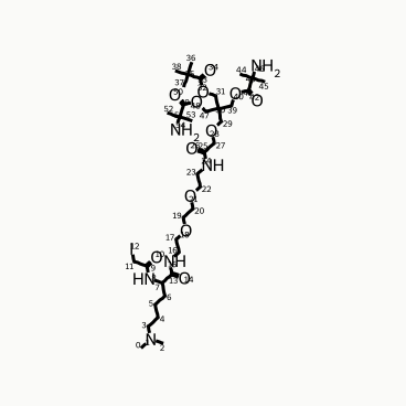 CN(C)CCCCC(NC(=O)CI)C(=O)NCCOCCOCCNC(=O)COCC(COC(=O)C(C)(C)C)(COC(=O)C(C)(C)N)COC(=O)C(C)(C)N